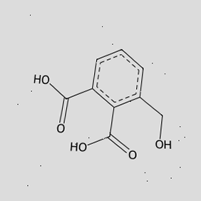 O=C(O)c1cccc(CO)c1C(=O)O